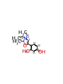 CC[N+](CC)(CC)CC(=O)c1ccc(O)cc1O